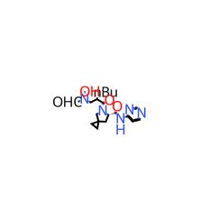 CCCC[C@H](CN(O)C=O)C(=O)N1CC2(CC2)C[C@H]1C(=O)Nc1ccncn1